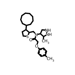 Cc1ccc(OCC(=O)N(CC2SCCC2C2CCCCCCCC2)C2CNNC2C)cc1